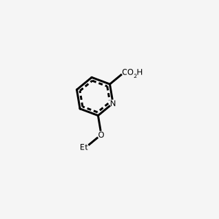 CCOc1cccc(C(=O)O)n1